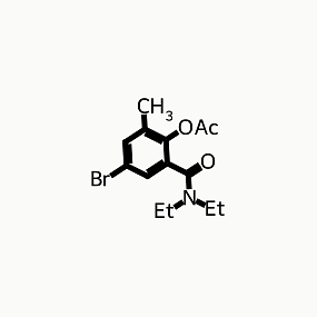 CCN(CC)C(=O)c1cc(Br)cc(C)c1OC(C)=O